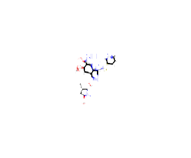 CC[C@@H]1CC(=O)N[C@@H]1COc1ncc(NSc2cccnc2)c2cc(C(N)=O)c(OC(C)C)cc12